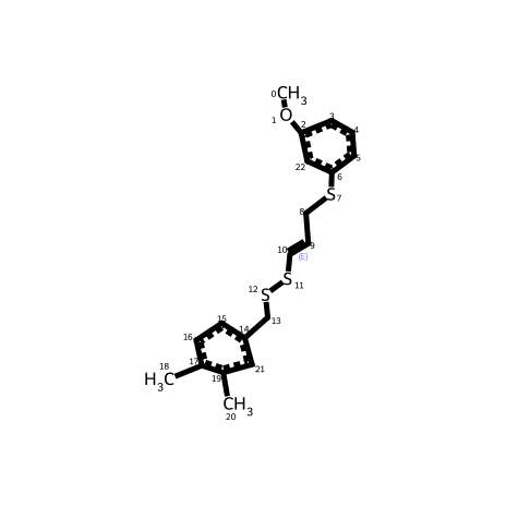 COc1cccc(SC/C=C/SSCc2ccc(C)c(C)c2)c1